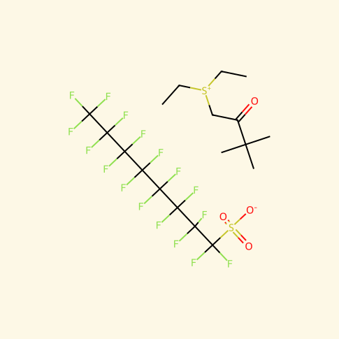 CC[S+](CC)CC(=O)C(C)(C)C.O=S(=O)([O-])C(F)(F)C(F)(F)C(F)(F)C(F)(F)C(F)(F)C(F)(F)C(F)(F)C(F)(F)F